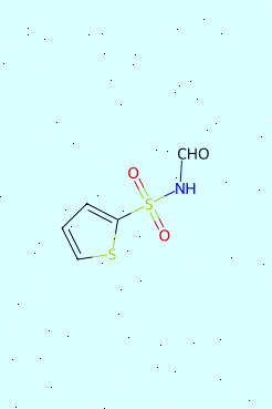 O=CNS(=O)(=O)c1cccs1